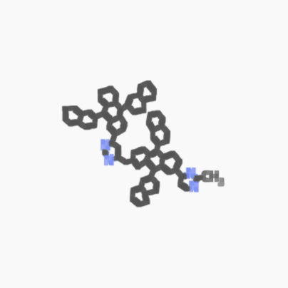 Cc1nccc(-c2ccc3c(-c4ccc5ccccc5c4)c4ccc(Cc5cc(-c6ccc7c(-c8ccc9ccccc9c8)c8ccccc8c(-c8ccc9ccccc9c8)c7c6)ncn5)cc4c(-c4ccc5ccccc5c4)c3c2)n1